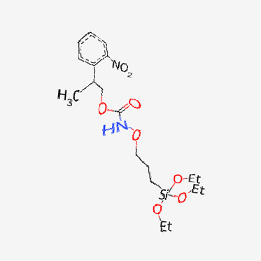 CCO[Si](CCCONC(=O)OCC(C)c1ccccc1[N+](=O)[O-])(OCC)OCC